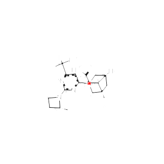 C[C@H]1CCN1c1nc(N2C[C@H]3C[C@@H](C2)C3CC(=O)O)cc(C(F)(F)F)n1